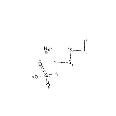 CCSSCCS(=O)(=O)[O-].[Na+]